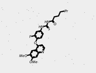 COc1cc2nccc(Oc3ccc(NC(=S)NC(=O)CCCC(C)C)cc3F)c2cc1OC